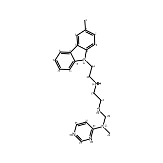 Cc1ccc2c(c1)c1ccccc1n2CCNCCOCN(C)c1ccncn1